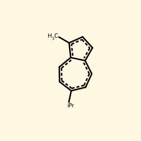 Cc1ccc2ccc(C(C)C)ccc1-2